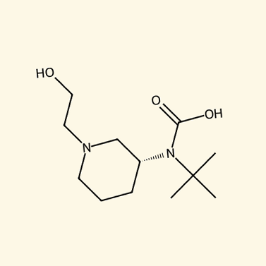 CC(C)(C)N(C(=O)O)[C@@H]1CCCN(CCO)C1